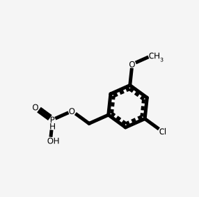 COc1cc(Cl)cc(CO[PH](=O)O)c1